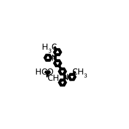 C=CC(=O)O.Cc1cccc(N(c2ccccc2)c2ccc(-c3ccc(N(c4ccccc4)c4cccc(C)c4)cc3)cc2)c1